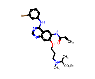 C=CC(=O)Nc1cc2c(Nc3cccc(Br)c3)ncnc2cc1OCCCN(C)C(C)C(=O)OCC